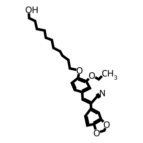 CCOc1cc(/C=C(\C#N)c2ccc3c(c2)OCO3)ccc1OCCCCCCCCCCCO